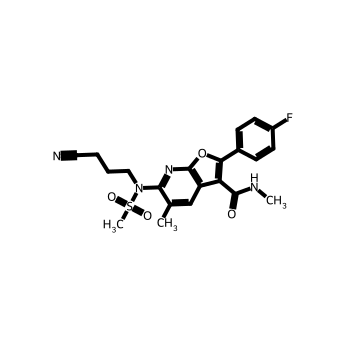 CNC(=O)c1c(-c2ccc(F)cc2)oc2nc(N(CCCC#N)S(C)(=O)=O)c(C)cc12